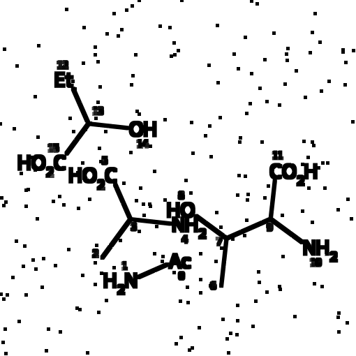 CC(N)=O.CC(N)C(=O)O.CC(O)C(N)C(=O)O.CCC(O)C(=O)O